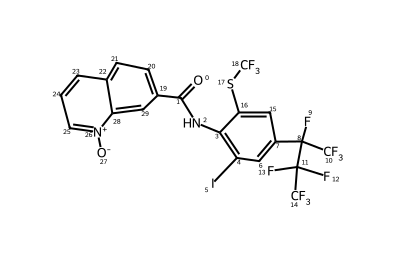 O=C(Nc1c(I)cc(C(F)(C(F)(F)F)C(F)(F)C(F)(F)F)cc1SC(F)(F)F)c1ccc2ccc[n+]([O-])c2c1